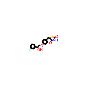 O=C1NC(=O)/C(=C\c2ccc(OCC(O)c3cccc(F)c3)cc2)S1